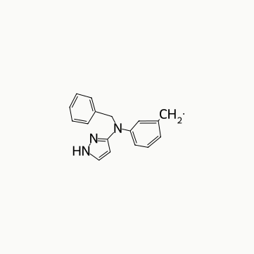 [CH2]c1cccc(N(Cc2ccccc2)c2cc[nH]n2)c1